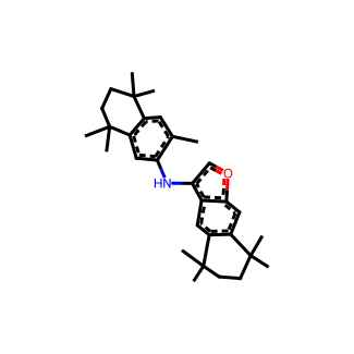 Cc1cc2c(cc1Nc1coc3cc4c(cc13)C(C)(C)CCC4(C)C)C(C)(C)CCC2(C)C